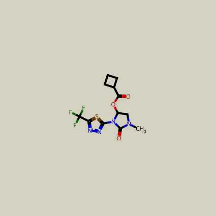 CN1CC(OC(=O)C2CCC2)N(c2nnc(C(F)(F)F)s2)C1=O